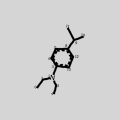 CCN(CC)c1ccc(C(C)C)cc1